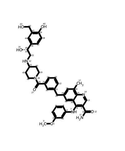 COc1cccc(Nc2c(C(N)=O)cnc3c(C)cc(Cc4cccc(C(=O)N5CCC(NC[C@H](O)c6ccc(O)c(CO)c6)CC5)c4)cc23)c1